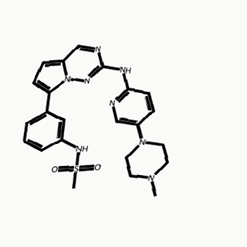 CN1CCN(c2ccc(Nc3ncc4ccc(-c5cccc(NS(C)(=O)=O)c5)n4n3)nc2)CC1